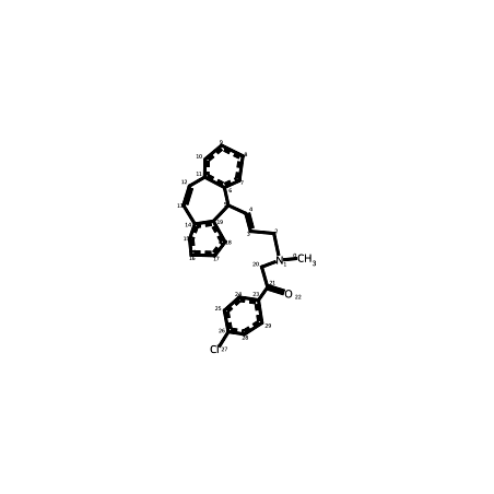 CN(CC=CC1c2ccccc2C=Cc2ccccc21)CC(=O)c1ccc(Cl)cc1